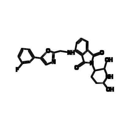 O=C1c2cccc(NCc3ncc(-c4cccc(F)c4)o3)c2C(=O)N1C1CCC(O)NC1O